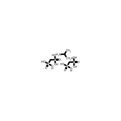 CC(N)C(=O)O.O=P(O)(O)CP(=O)(O)O.O=P(O)(O)CP(=O)(O)O